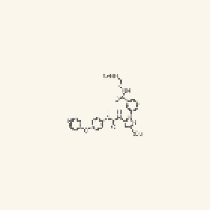 CC(=O)NCCNC(=O)c1cccc(-n2nc(C(C)(C)C)cc2NC(=O)Nc2ccc(Oc3ccncc3)cc2)c1